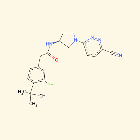 CC(C)(C)c1ccc(CC(=O)N[C@H]2CCN(c3ccc(C#N)nn3)C2)cc1F